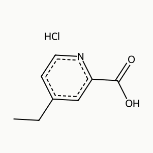 CCc1ccnc(C(=O)O)c1.Cl